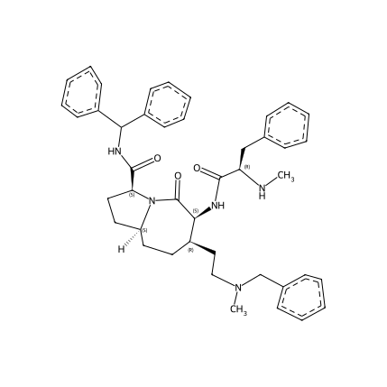 CN[C@H](Cc1ccccc1)C(=O)N[C@@H]1C(=O)N2[C@@H](CC[C@@H]1CCN(C)Cc1ccccc1)CC[C@H]2C(=O)NC(c1ccccc1)c1ccccc1